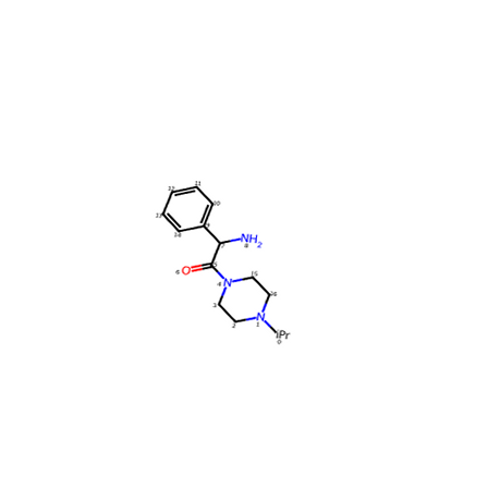 CC(C)N1CCN(C(=O)C(N)c2ccccc2)CC1